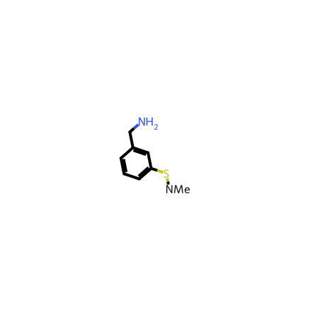 CNSc1cccc(CN)c1